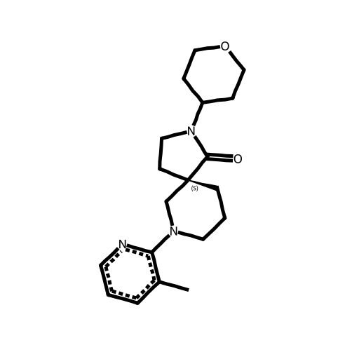 Cc1cccnc1N1CCC[C@]2(CCN(C3CCOCC3)C2=O)C1